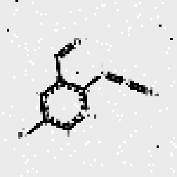 [N-]=[N+]=Nc1ncc(Br)cc1C=O